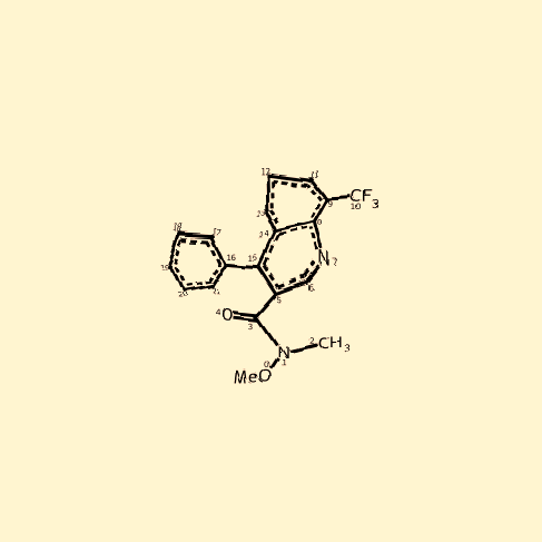 CON(C)C(=O)c1cnc2c(C(F)(F)F)cccc2c1-c1ccccc1